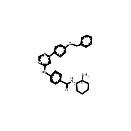 N[C@H]1CCCC[C@@H]1NC(=O)c1ccc(Nc2cc(-c3ccc(OCc4ccccc4)cc3)ncn2)cc1